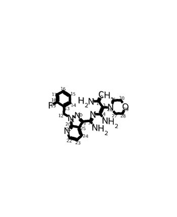 C=C(N)/C(=C(N)\N=C(/N)c1nn(Cc2ccccc2F)c2ncccc12)N1CCOCC1